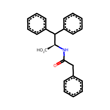 O=C(Cc1ccccc1)N[C@@H](C(=O)O)C(c1ccccc1)c1ccccc1